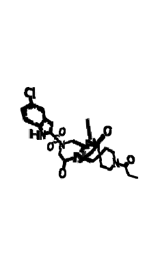 CCC(=O)N1CCC2(CC1)CN1C(=O)CN(S(=O)(=O)c3cc4cc(Cl)ccc4[nH]3)CC13CN(C)C(=O)N23